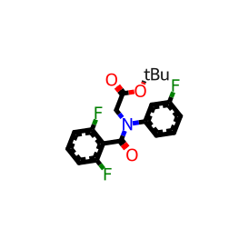 CC(C)(C)OC(=O)CN(C(=O)c1c(F)cccc1F)c1cccc(F)c1